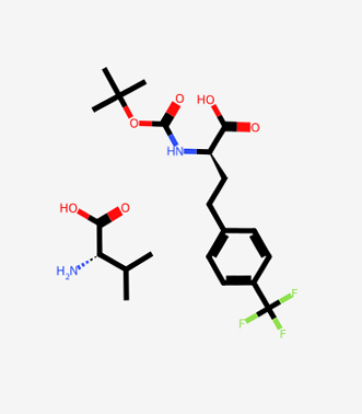 CC(C)(C)OC(=O)N[C@H](CCc1ccc(C(F)(F)F)cc1)C(=O)O.CC(C)[C@H](N)C(=O)O